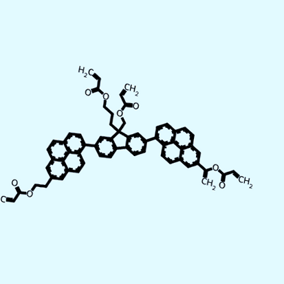 C=CC(=O)OCCCC1(COC(=O)C=C)c2cc(-c3ccc4ccc5cc(CCOC(=O)C=C)cc6ccc3c4c56)ccc2-c2ccc(-c3ccc4ccc5cc(C(=C)OC(=O)C=C)cc6ccc3c4c56)cc21